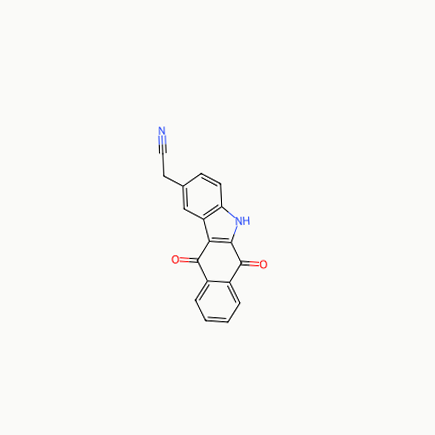 N#CCc1ccc2[nH]c3c(c2c1)C(=O)c1ccccc1C3=O